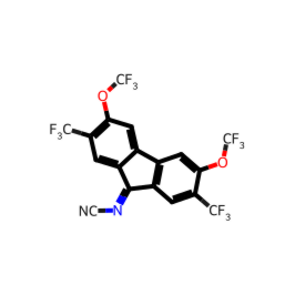 N#CN=C1c2cc(C(F)(F)F)c(OC(F)(F)F)cc2-c2cc(OC(F)(F)F)c(C(F)(F)F)cc21